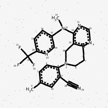 Cc1ccc(N2CCc3ncnc(N(C)c4ccc(C(F)(F)F)nc4)c3C2)c(C#N)c1